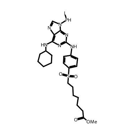 COC(=O)CCCCCCS(=O)(=O)c1ccc(Nc2nc(NC3CCCCC3)c3ncn(PI)c3n2)cc1